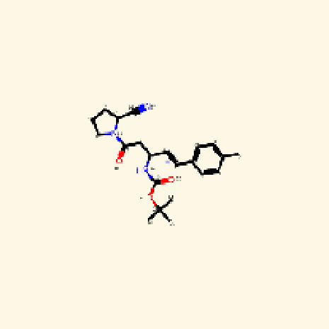 Cc1ccc(/C=C/C(CC(=O)N2CCCC2C#N)NC(=O)OC(C)(C)C)cc1